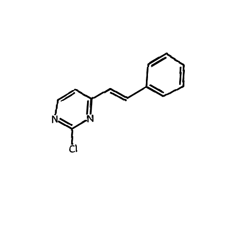 Clc1nccc(/C=C/c2ccccc2)n1